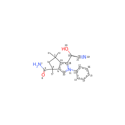 CC1(C)CC(C)(C(N)=O)c2cn(-c3ccccc3)c(C(O)C#N)c21